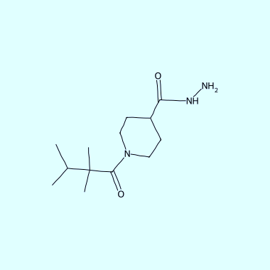 CC(C)C(C)(C)C(=O)N1CCC(C(=O)NN)CC1